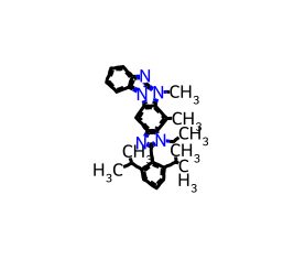 CCn1c(-c2c(C(C)C)cccc2C(C)C)nc2cc3c(c(C)c21)n(C)c1nc2ccccc2n31